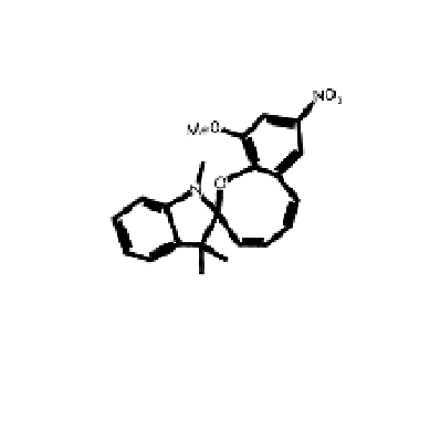 COc1cc([N+](=O)[O-])cc2c1OC1(C=CC=C2)N(C)c2ccccc2C1(C)C